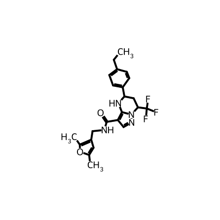 CCc1ccc(C2CC(C(F)(F)F)n3ncc(C(=O)NCc4cc(C)oc4C)c3N2)cc1